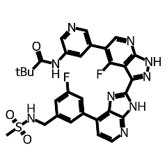 CC(C)(C)C(=O)Nc1cncc(-c2cnc3[nH]nc(-c4nc5c(-c6cc(F)cc(CNS(C)(=O)=O)c6)ccnc5[nH]4)c3c2F)c1